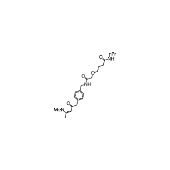 CCCNC(=O)CCCOCC(=O)NCc1ccc(CC(=O)/C=C(/C)NC)cc1